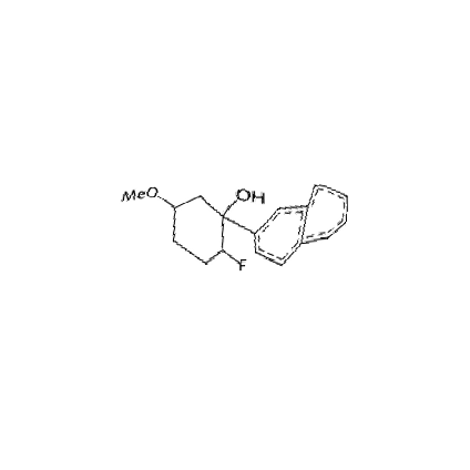 COC1CCC(F)C(O)(c2ccc3ccccc3c2)C1